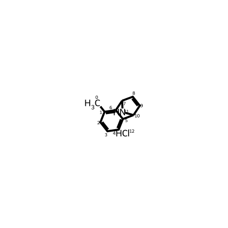 Cc1cccc2c1C1C=CC2N1.Cl